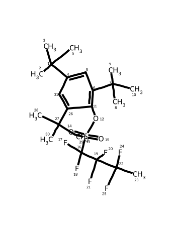 CC(C)(C)c1cc(C(C)(C)C)c(OS(=O)(=O)C(F)(F)C(F)(F)C(C)(F)F)c(C(C)(C)C)c1